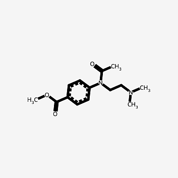 COC(=O)c1ccc(N(CCN(C)C)C(C)=O)cc1